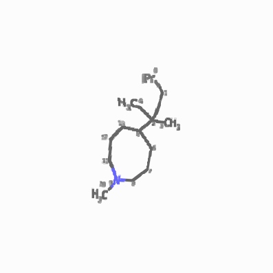 CC(C)CC(C)(C)C1CCCN(C)CCC1